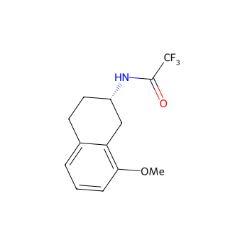 COc1cccc2c1C[C@@H](NC(=O)C(F)(F)F)CC2